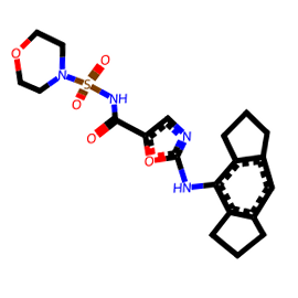 O=C(NS(=O)(=O)N1CCOCC1)c1cnc(Nc2c3c(cc4c2CCC4)CCC3)o1